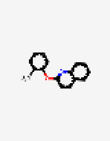 O=[N+]([O-])c1ccccc1Oc1ccc2ccccc2n1